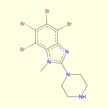 Cn1c(N2CCNCC2)nc2c(Br)c(Br)c(Br)c(Br)c21